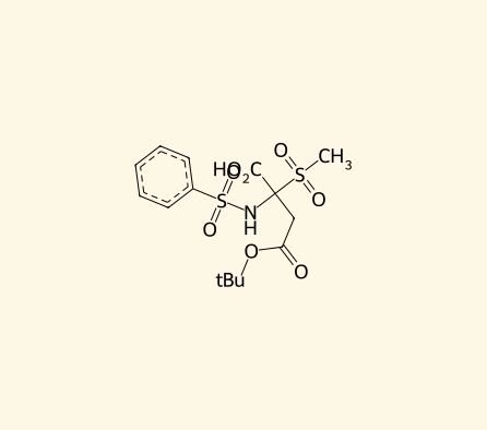 CC(C)(C)OC(=O)CC(NS(=O)(=O)c1ccccc1)(C(=O)O)S(C)(=O)=O